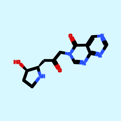 O=C(C[C@@H]1NCC[C@H]1O)Cn1cnc2ncncc2c1=O